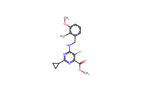 COC(=O)c1nc(C2CC2)nc(NCc2cccc(OC)c2C)c1Cl